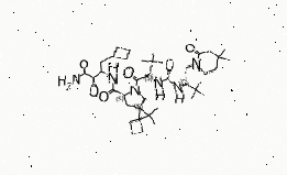 CC1(C)CCN(C[C@@H](NC(=O)N[C@H](C(=O)N2C[C@@]3(C[C@H]2C(=O)NC(CC2CCC2)C(=O)C(N)=O)C(C)(C)C32CCC2)C(C)(C)C)C(C)(C)C)C(=O)C1